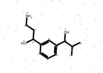 CC(C)C(O)c1cccc(C(O)CCN)c1